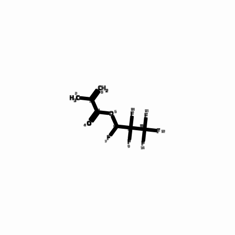 C=C(C)C(=O)OC(F)C(F)(F)C(F)(F)F